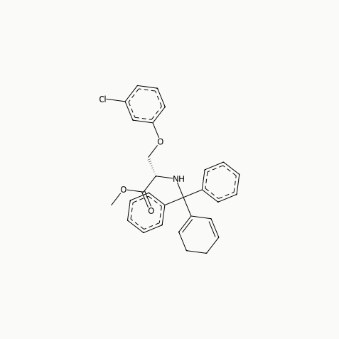 COC(=O)[C@H](COc1cccc(Cl)c1)NC(C1=CCCC=C1)(c1ccccc1)c1ccccc1